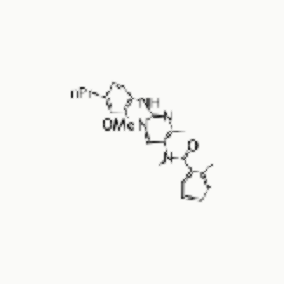 CCCc1ccc(Nc2ncc(N(C)C(=O)c3ccccc3C)c(C)n2)c(OC)c1